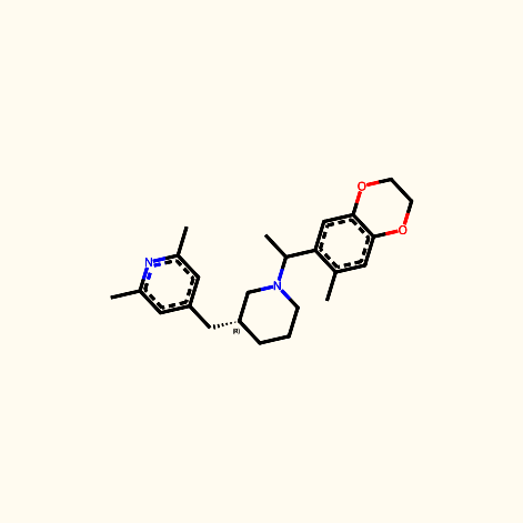 Cc1cc(C[C@H]2CCCN(C(C)c3cc4c(cc3C)OCCO4)C2)cc(C)n1